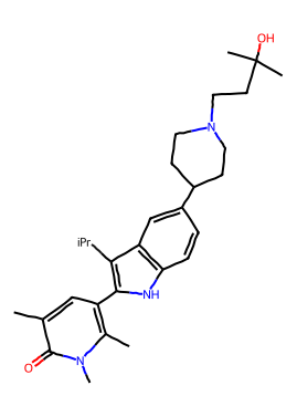 Cc1cc(-c2[nH]c3ccc(C4CCN(CCC(C)(C)O)CC4)cc3c2C(C)C)c(C)n(C)c1=O